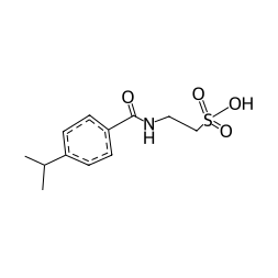 CC(C)c1ccc(C(=O)NCCS(=O)(=O)O)cc1